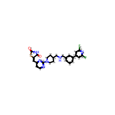 O=C1NC(=O)/C(=C\c2ccnc(N3CCC(CNCc4cccc(-c5cc(F)nc(F)c5)c4)CC3)n2)S1